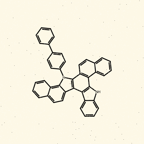 c1ccc(-c2ccc(-n3c4c5ccccc5ccc4c4c5c6ccccc6[nH]c5c5c6ccccc6ccc5c43)cc2)cc1